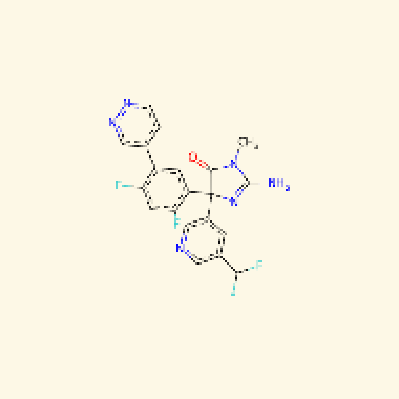 CN1C(=O)C(c2cncc(C(F)F)c2)(c2cc(-c3ccnnc3)c(F)cc2F)N=C1N